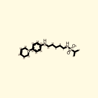 CC(C)S(=O)(=O)NCCCCCNc1ccc(N2CC=CCC2)cc1